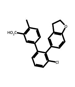 Cc1ccc(-c2cccc(Cl)c2-c2ccc3c(c2)CCO3)cc1C(=O)O